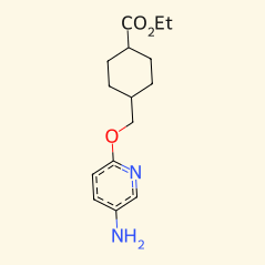 CCOC(=O)C1CCC(COc2ccc(N)cn2)CC1